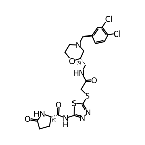 O=C(CSc1nnc(NC(=O)[C@@H]2CCC(=O)N2)s1)NC[C@H]1CN(Cc2ccc(Cl)c(Cl)c2)CCO1